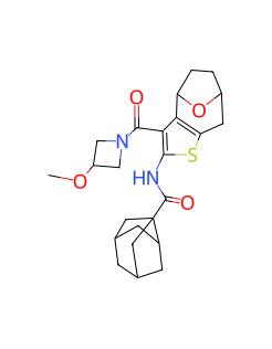 COC1CN(C(=O)c2c(NC(=O)C34CC5CC(CC3C5)C4)sc3c2C2CCC(C3)O2)C1